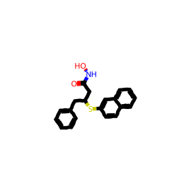 O=C(CC(Cc1ccccc1)Sc1ccc2ccccc2c1)NO